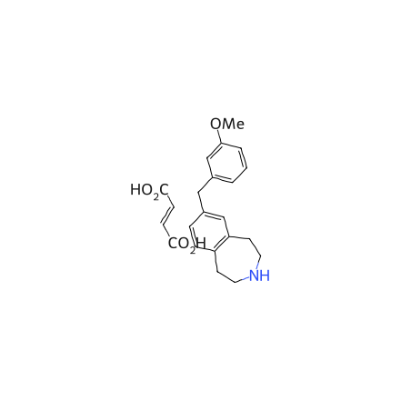 COc1cccc(Cc2ccc3c(c2)CCNCC3)c1.O=C(O)C=CC(=O)O